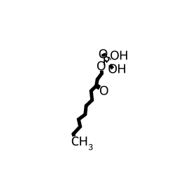 CCCCCCCCC(=O)CCOP(=O)(O)O